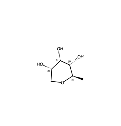 C[C@H]1OC[C@H](O)[C@H](O)[C@@H]1O